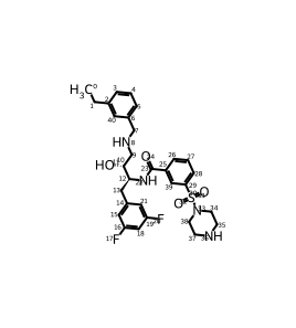 CCc1cccc(CNC[C@@H](O)[C@H](Cc2cc(F)cc(F)c2)NC(=O)c2cccc(S(=O)(=O)N3CCNCC3)c2)c1